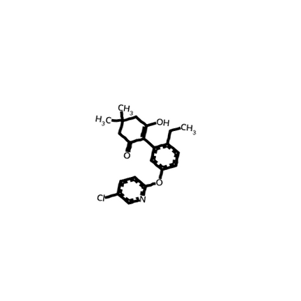 CCc1ccc(Oc2ccc(Cl)cn2)cc1C1=C(O)CC(C)(C)CC1=O